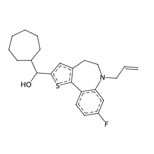 C=CCN1CCc2cc(C(O)C3CCCCCC3)sc2-c2ccc(F)cc21